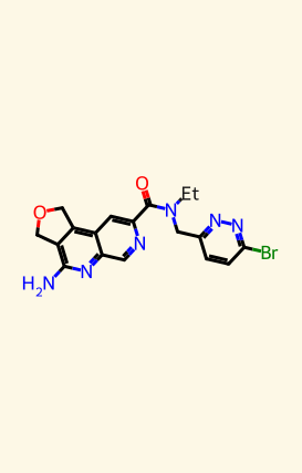 CCN(Cc1ccc(Br)nn1)C(=O)c1cc2c3c(c(N)nc2cn1)COC3